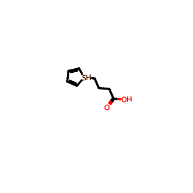 O=C(O)CCC[SH]1C=CC=C1